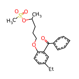 CCc1ccc(OCCCC(C)OS(C)(=O)=O)c(C(=O)c2ccccc2)c1